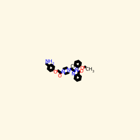 CCOc1ccccc1-n1c(C(C)N2CCN(C(=O)COc3ccc(CN)cc3)CC2)nc2ccccc2c1=O